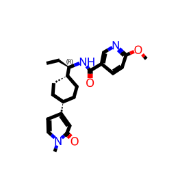 CC[C@@H](NC(=O)c1ccc(OC)nc1)[C@H]1CC[C@@H](c2ccn(C)c(=O)c2)CC1